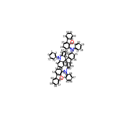 c1ccc(N2c3ccccc3C3(c4cc(N(c5ccccc5)c5cccc6c5oc5ccccc56)ccc4-c4ccc(N(c5ccccc5)c5cccc6c5oc5ccccc56)cc43)c3ccccc32)cc1